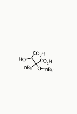 CCCCOC(CCCC)(C(=O)O)C(O)C(=O)O